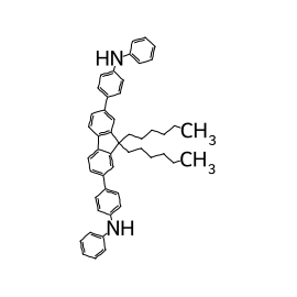 CCCCCCC1(CCCCCC)c2cc(-c3ccc(Nc4ccccc4)cc3)ccc2-c2ccc(-c3ccc(Nc4ccccc4)cc3)cc21